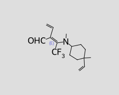 C=C/C(C=O)=C(\N(C)C1CCC(C)(C=C)CC1)C(F)(F)F